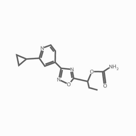 CCC(OC(N)=O)c1nc(-c2ccnc(C3CC3)c2)no1